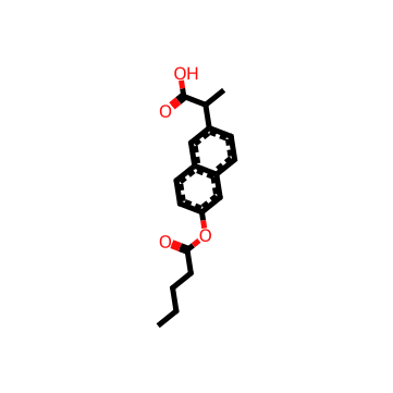 CCCCC(=O)Oc1ccc2cc(C(C)C(=O)O)ccc2c1